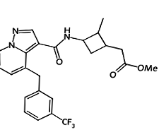 COC(=O)CC1CC(NC(=O)c2cnn3cccc(Cc4cccc(C(F)(F)F)c4)c23)C1C